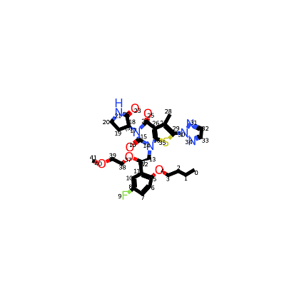 CCCCOc1ccc(F)cc1[C@H](Cn1c(=O)n([C@H]2CCNC2=O)c(=O)c2c(C)c(-n3nccn3)sc21)OCCOC